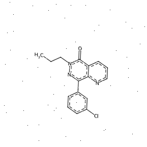 CCCn1nc(-c2cccc(Cl)c2)c2ncccc2c1=O